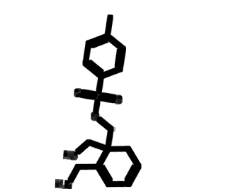 Cc1ccc(S(=O)(=O)O[CH]C2(CO)CC=CC=C2CN)cc1